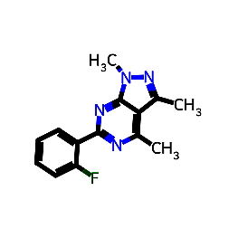 Cc1nc(-c2ccccc2F)nc2c1c(C)nn2C